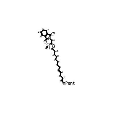 CCCCCC=CCC=CCCCCCCCCOC(CN1C(=O)C2=C(CCC=C2)C1=O)OCC